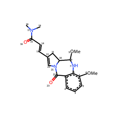 COc1cccc2c1NC(OC)C1CC(C=CC(=O)N(C)C)=CN1C2=O